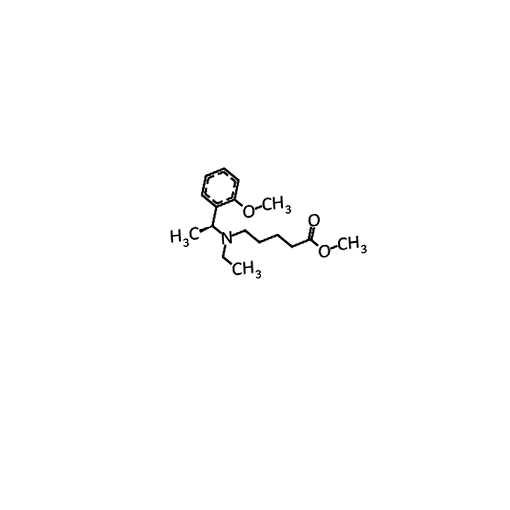 CCN(CCCCC(=O)OC)[C@@H](C)c1ccccc1OC